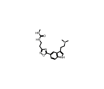 CNC(=O)NCCc1noc(-c2ccc3[nH]cc(CCN(C)C)c3c2)n1